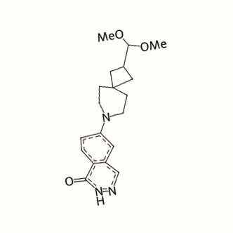 COC(OC)C1CC2(CCN(c3ccc4c(=O)[nH]ncc4c3)CC2)C1